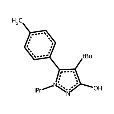 Cc1ccc(-c2c(C(C)(C)C)c(O)nn2C(C)C)cc1